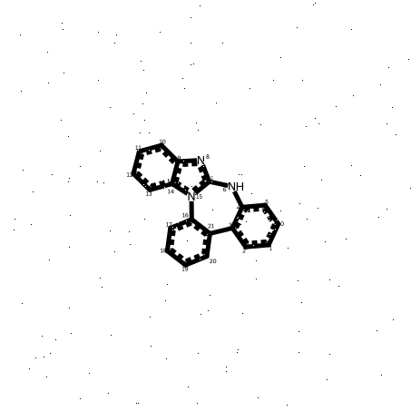 c1ccc2c(c1)Nc1nc3ccccc3n1-c1ccccc1-2